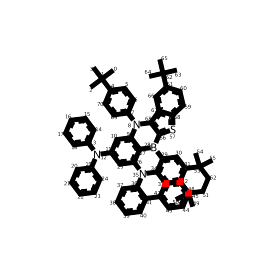 CC(C)(C)c1ccc(N2c3cc(N(c4ccccc4)c4ccccc4)cc4c3B(c3cc5c(cc3N4c3ccccc3-c3ccccc3)C(C)(C)CCC5(C)C)c3sc4ccc(C(C)(C)C)cc4c32)cc1